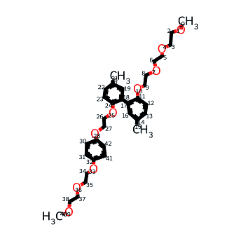 COCCOCCOCCOc1ccc(C)cc1-c1cc(C)ccc1OCCOc1ccc(OCCOCCOC)cc1